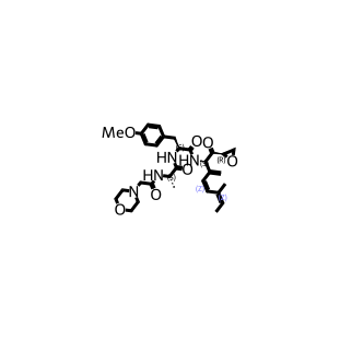 C=C(/C=C\C(C)=C/C)[C@H](NC(=O)[C@H](Cc1ccc(OC)cc1)NC(=O)[C@H](C)NC(=O)CN1CCOCC1)C(=O)[C@H]1CO1